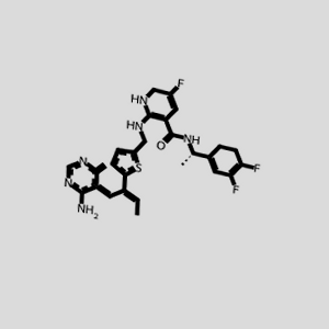 C=c1ncnc(N)/c1=C/C(=C\C)c1ccc(CNC2=C(C(=O)N[C@@H](C)C3=CC(F)=C(F)CC3)C=C(F)CN2)s1